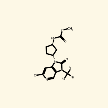 [2H]C([2H])([2H])n1c(=O)n([C@@H]2CC[C@@H](NC(=O)OC)C2)c2cc(Cl)ncc21